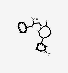 CCC1CCCC(c2cccc(O)c2)CCN1CC(Cc1ccccc1)C(=O)O